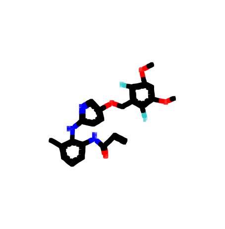 C=CC(=O)Nc1cccc(C)c1Nc1ccc(OCc2c(F)c(OC)cc(OC)c2F)cn1